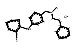 CN(Cc1ccc(Nc2ccccc2Cl)cc1)C[C@H](O)c1ccccc1